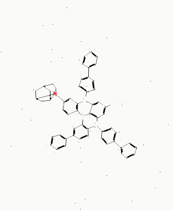 CC(C)(C)c1cc2c3c(c1)N(c1ccc(-c4ccccc4)cc1)c1cc(N4C5CC6CC(C5)CC4C6)ccc1B3c1cc(-c3ccccc3)ccc1N2c1ccc(-c2ccccc2)cc1